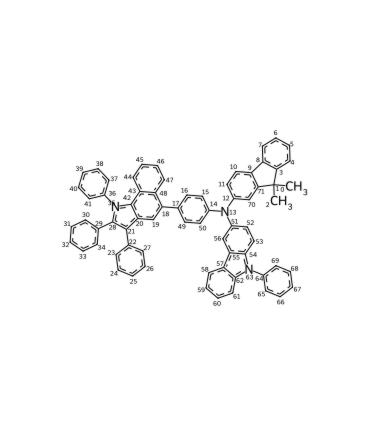 CC1(C)c2ccccc2-c2ccc(N(c3ccc(-c4cc5c(-c6ccccc6)c(-c6ccccc6)n(-c6ccccc6)c5c5ccccc45)cc3)c3ccc4c(c3)c3ccccc3n4-c3ccccc3)cc21